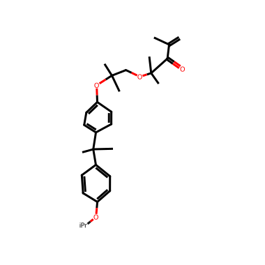 C=C(C)C(=O)C(C)(C)OCC(C)(C)Oc1ccc(C(C)(C)c2ccc(OC(C)C)cc2)cc1